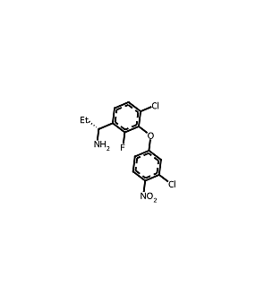 CC[C@@H](N)c1ccc(Cl)c(Oc2ccc([N+](=O)[O-])c(Cl)c2)c1F